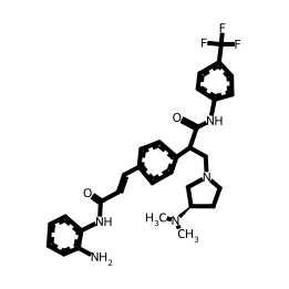 CN(C)[C@@H]1CCN(CC(C(=O)Nc2ccc(C(F)(F)F)cc2)c2ccc(/C=C/C(=O)Nc3ccccc3N)cc2)C1